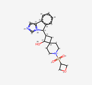 O=S(=O)(C1COC1)N1CCC2(CC1)CC(C1c3ccccc3-c3cncn31)C2O